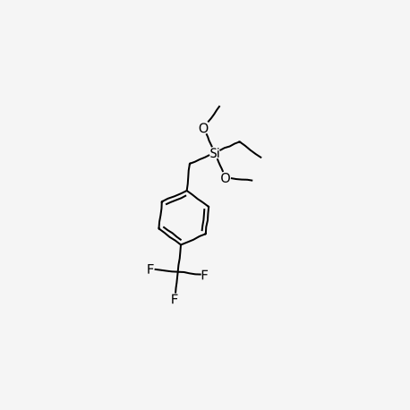 CC[Si](Cc1ccc(C(F)(F)F)cc1)(OC)OC